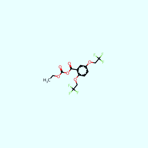 CCOC(=O)OC(=O)c1cc(OCC(F)(F)F)ccc1OCC(F)(F)F